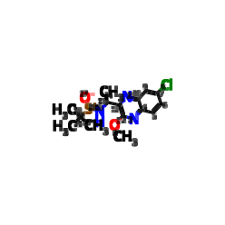 COc1nc2ccc(Cl)cc2nc1[C@H](C)N[S+]([O-])C(C)(C)C